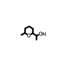 CC1CCCC(C(C)O)O1